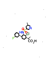 Cc1cncc(S(=O)(=O)Nc2c(-c3cccc(F)c3)ccc(C(C)C(=O)O)c2Cl)c1